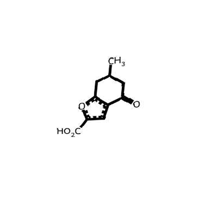 CC1CC(=O)c2cc(C(=O)O)oc2C1